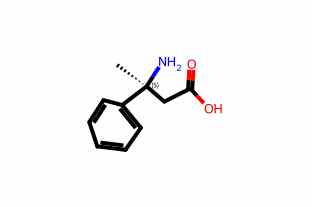 C[C@](N)(CC(=O)O)c1ccccc1